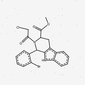 COC(=O)C1Cc2c([nH]c3ccccc23)C(c2ccccc2Br)N1C(=O)CCl